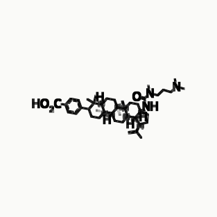 C=C(C)[C@@H]1CC[C@]2(NC(=O)N(C)CCCN(C)C)CC[C@]3(C)[C@H](CC[C@@H]4[C@@]5(C)CCC(c6ccc(C(=O)O)cc6)C(C)(C)[C@@H]5CC[C@]43C)[C@@H]12